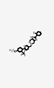 COc1ccc(-c2ccc(CN3Cc4nc(-c5ccccc5F)[nH]c4C=N3)cn2)c(C(F)(F)F)c1